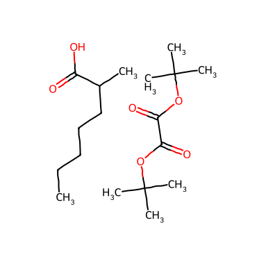 CC(C)(C)OC(=O)C(=O)OC(C)(C)C.CCCCCC(C)C(=O)O